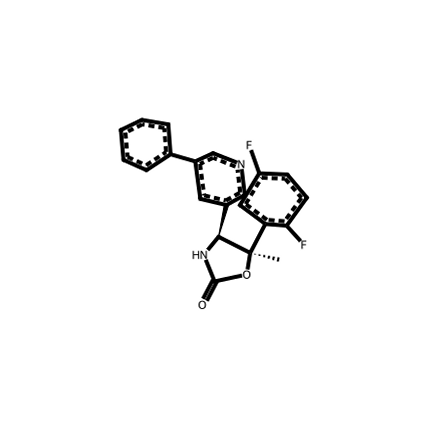 C[C@]1(c2cc(F)ccc2F)OC(=O)N[C@H]1c1cncc(-c2ccccc2)c1